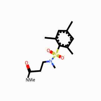 CNC(=O)CCN(C)S(=O)(=O)c1c(C)cc(C)cc1C